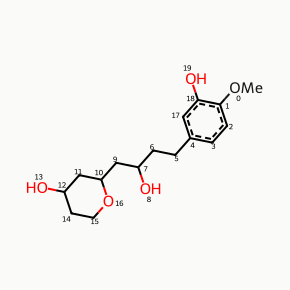 COc1ccc(CCC(O)CC2CC(O)CCO2)cc1O